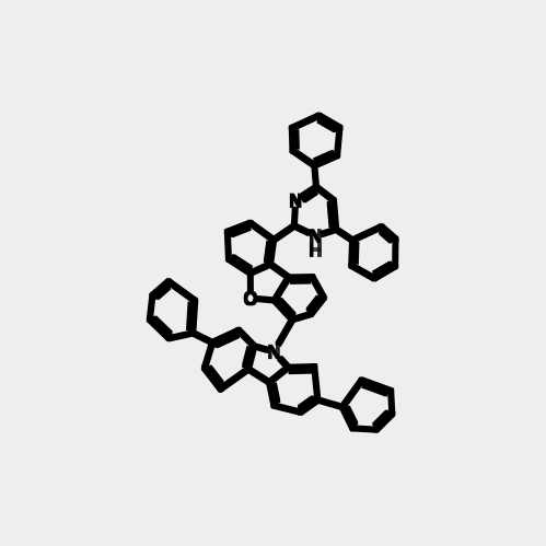 C1=C(c2ccccc2)NC(c2cccc3oc4c(-n5c6cc(-c7ccccc7)ccc6c6ccc(-c7ccccc7)cc65)cccc4c23)N=C1c1ccccc1